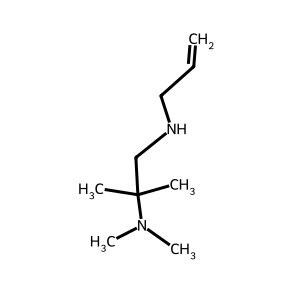 C=CCNCC(C)(C)N(C)C